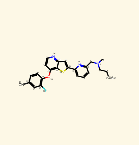 COCCN(C)Cc1cccc(-c2cc3nccc(Oc4ccc(N=O)cc4F)c3s2)n1